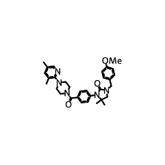 COc1ccc(CN2CC(C)(C)N(c3ccc(C(=O)N4CCN(c5ncc(C)cc5C)CC4)cc3)C2=O)cc1